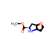 COC(=O)[C@H]1Cc2occc2N1